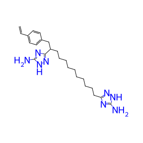 C=Cc1ccc(CC(CCCCCCCCCCc2n[nH]c(N)n2)c2n[nH]c(N)n2)cc1